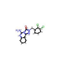 Nc1nc2ccccc2c2nn(Cc3cccc(Cl)c3Cl)c(=O)n12